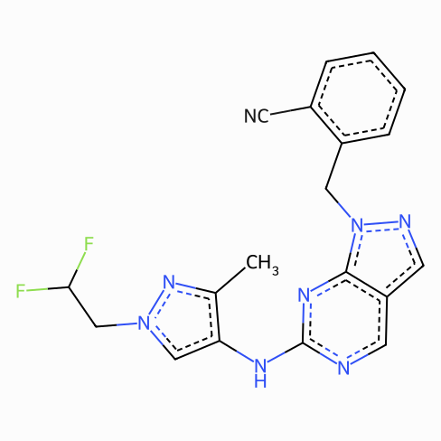 Cc1nn(CC(F)F)cc1Nc1ncc2cnn(Cc3ccccc3C#N)c2n1